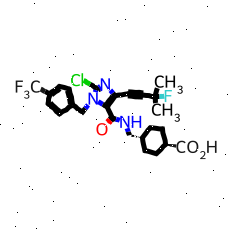 CC(C)(F)C#Cc1nc(Cl)n(Cc2ccc(C(F)(F)F)cc2)c1C(=O)NC[C@H]1CC[C@H](C(=O)O)CC1